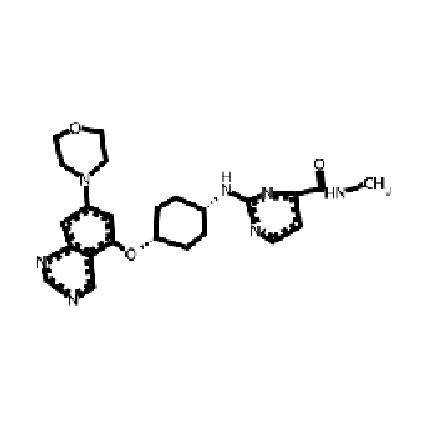 CNC(=O)c1ccnc(N[C@H]2CC[C@@H](Oc3cc(N4CCOCC4)cc4ncncc34)CC2)n1